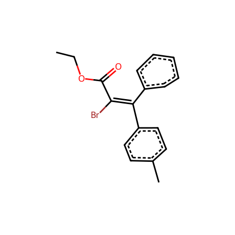 CCOC(=O)/C(Br)=C(\c1ccccc1)c1ccc(C)cc1